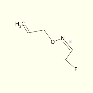 C=CCO/N=C\[CH]F